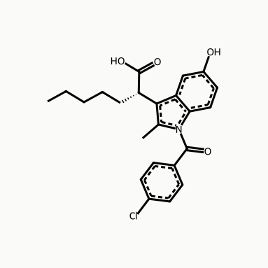 CCCCC[C@H](C(=O)O)c1c(C)n(C(=O)c2ccc(Cl)cc2)c2ccc(O)cc12